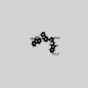 CCCCCCc1cc(-c2ccc3c(c2)C2CCCC2N3c2ccc3c(c2)C(CCCC)(CCCC)c2ccccc2-3)sc1/C=C1\C(=O)c2ccc(C(=O)O)cc2C1=O